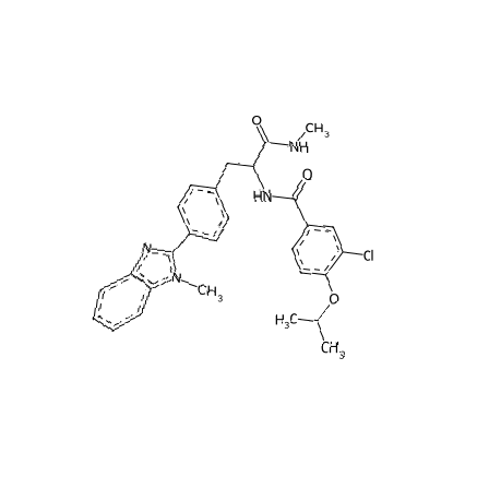 CNC(=O)C(Cc1ccc(-c2nc3ccccc3n2C)cc1)NC(=O)c1ccc(OC(C)C)c(Cl)c1